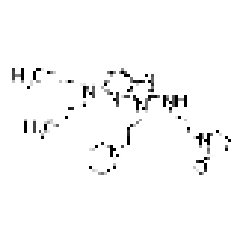 CCCCN(CCCC)c1ccc2nc(NCCCN3CCCC3=O)n(CCCN3CCCCC3)c2n1